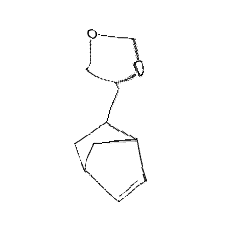 C1=CC2CC1CC2C1COCO1